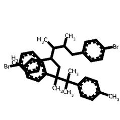 Cc1ccc(C(C)(C)C(C)(CC(c2ccc(Br)cc2)C(C)C(C)Cc2ccc(Br)cc2)c2ccc(C)cc2)cc1